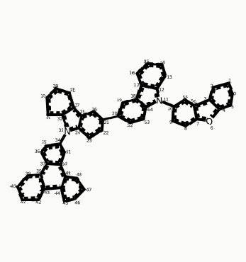 c1ccc2c(c1)oc1ccc(-n3c4ccccc4c4cc(-c5ccc6c(c5)c5ccccc5n6-c5ccc6c7ccccc7c7ccccc7c6c5)ccc43)cc12